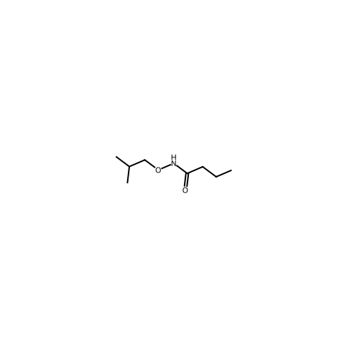 CCCC(=O)NOCC(C)C